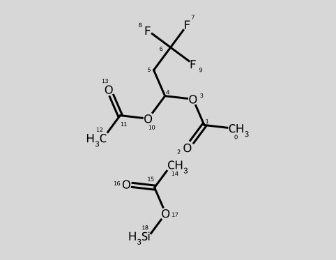 CC(=O)OC(CC(F)(F)F)OC(C)=O.CC(=O)O[SiH3]